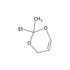 CCC1(C)OC=CCO1